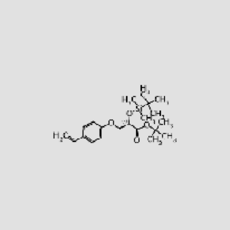 C=Cc1ccc(OC[C@@H](O[Si](C)(C)C(C)(C)C)C(=O)OC(C)(C)C)cc1